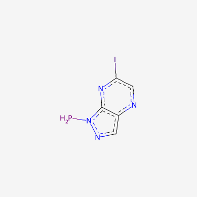 Pn1ncc2ncc(I)nc21